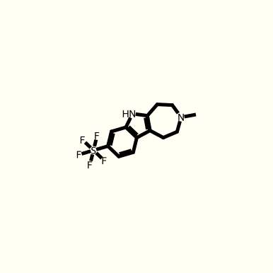 CN1CCc2[nH]c3cc(S(F)(F)(F)(F)F)ccc3c2CC1